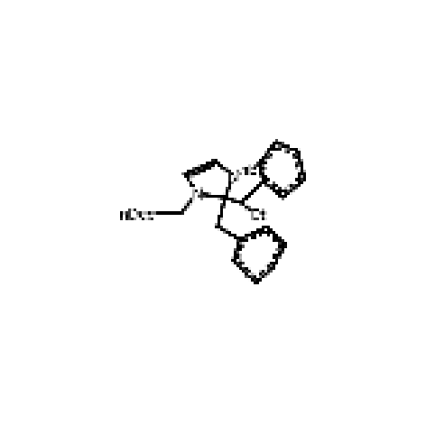 CCCCCCCCCCCN1C=CN(CCCC)C1(Cc1ccccc1)C(CC)c1ccccc1